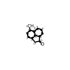 Cc1ccc2c3c(cccc13)C(=O)C2